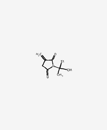 C=C1CC(=O)N(C(C)(O)CC)C1=O